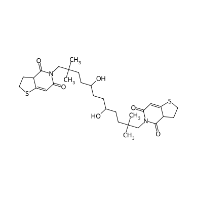 CC(C)(CCC(O)CCC(O)CCC(C)(C)CN1C(=O)C=C2SCCC2C1=O)CN1C(=O)C=C2SCCC2C1=O